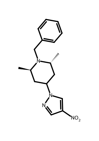 C[C@@H]1CC(n2cc([N+](=O)[O-])cn2)C[C@@H](C)N1Cc1ccccc1